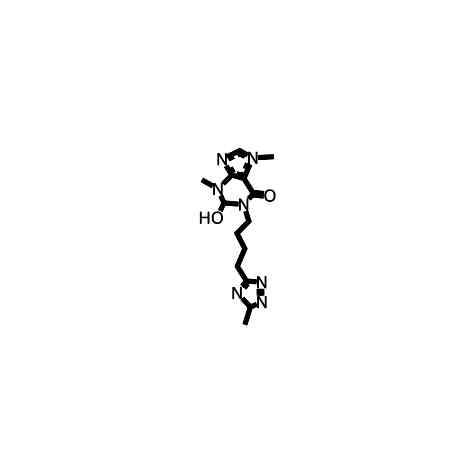 CC1N=NC(CCCCN2C(=O)c3c(ncn3C)N(C)C2O)=N1